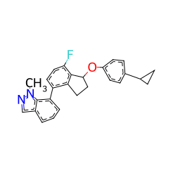 Cn1ncc2cccc(-c3ccc(F)c4c3CCC4Oc3ccc(C4CC4)cc3)c21